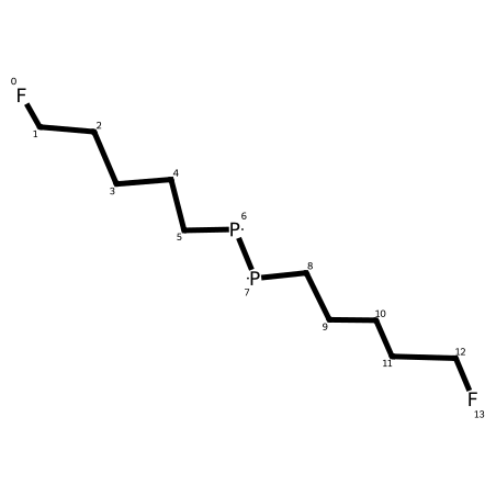 FCCCCC[P][P]CCCCCF